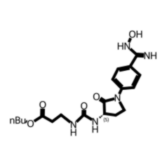 CCCCOC(=O)CCNC(=O)N[C@H]1CCN(c2ccc(C(=N)NO)cc2)C1=O